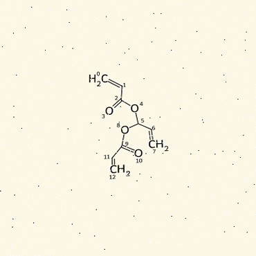 C=CC(=O)OC(C=C)OC(=O)C=C